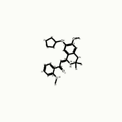 COc1cc2c(cc1OC1CCCC1)/C(=C/C(=O)c1ccccc1OC)NC(C)(C)C2